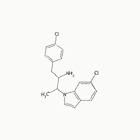 CC(C(N)Cc1ccc(Cl)cc1)n1ccc2ccc(Cl)cc21